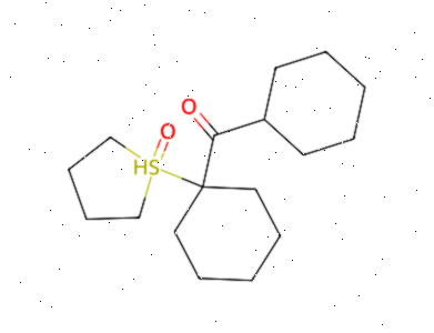 O=C(C1CCCCC1)C1([SH]2(=O)CCCC2)CCCCC1